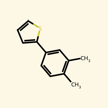 Cc1ccc(-c2cc[c]s2)cc1C